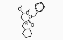 COC(C[C@H](CC1CCCCC1)C(=O)OCc1ccccc1)OC